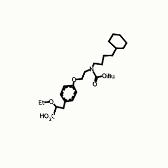 CCOC(Cc1ccc(OCCN(CCCCC2CCCCC2)C(=O)OCC(C)C)cc1)C(=O)O